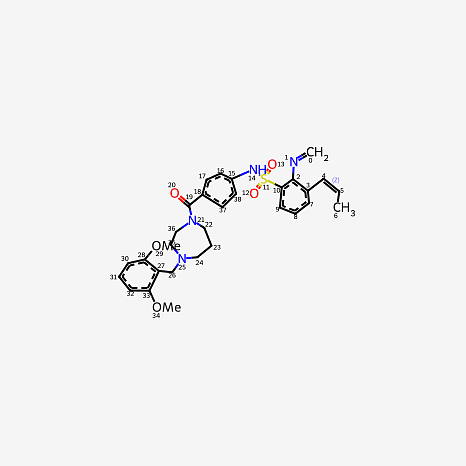 C=Nc1c(/C=C\C)cccc1S(=O)(=O)Nc1ccc(C(=O)N2CCCN(Cc3c(OC)cccc3OC)CC2)cc1